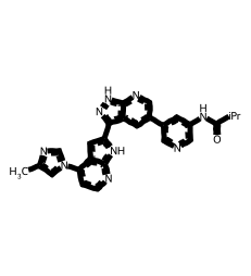 Cc1cn(-c2ccnc3[nH]c(-c4n[nH]c5ncc(-c6cncc(NC(=O)C(C)C)c6)cc45)cc23)cn1